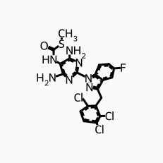 CSC(=O)Nc1c(N)nc(-n2nc(Cc3c(Cl)ccc(Cl)c3Cl)c3cc(F)ccc32)nc1N